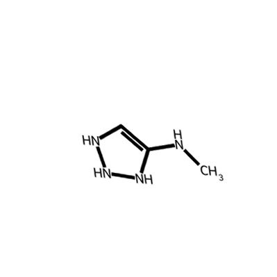 CNC1=CNNN1